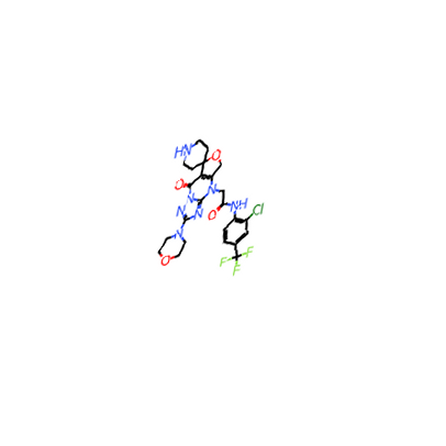 O=C(Cn1c2c(c(=O)n3nc(N4CCOCC4)nc13)C1(CCNCC1)OC2)Nc1ccc(C(F)(F)F)cc1Cl